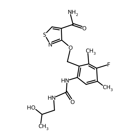 Cc1cc(NC(=O)NCC(C)O)c(COc2nscc2C(N)=O)c(C)c1F